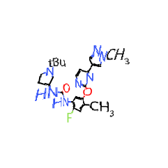 Cc1cc(F)c(NC(=O)NC2CCN(C(C)(C)C)C2)cc1Oc1nccc(-c2cnn(C)c2)n1